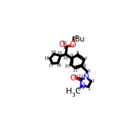 CN1CCN(Cc2ccc(C(C(=O)OC(C)(C)C)C3CCCC3)cc2)C1=O